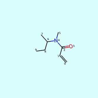 C=CC(=O)N(C)C(C)CC